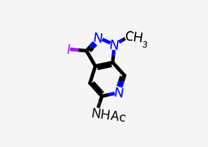 CC(=O)Nc1cc2c(I)nn(C)c2cn1